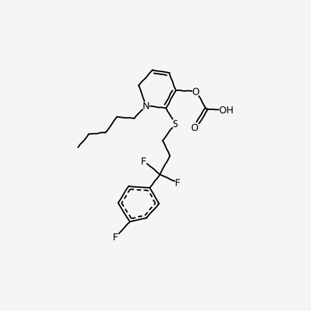 CCCCCN1CC=CC(OC(=O)O)=C1SCCC(F)(F)c1ccc(F)cc1